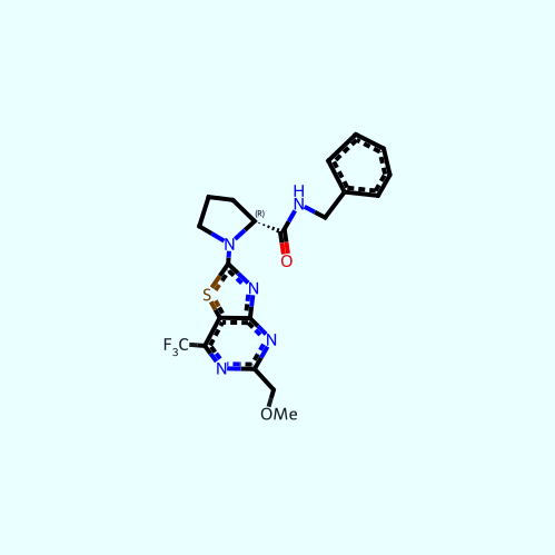 COCc1nc(C(F)(F)F)c2sc(N3CCC[C@@H]3C(=O)NCc3ccccc3)nc2n1